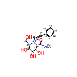 CCNC(=O)[C@@H]1[C@@H](O)[C@@H](O)[C@H](O)[C@@H](CO)N1CC#Cc1ccccc1